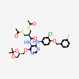 CC(=O)SCC(CSC(C)=O)C(=O)Nc1c(Nc2ccc(OCc3cccc(F)c3)c(Cl)c2)ncnc1OC[C@H]1COC(C)(C)O1